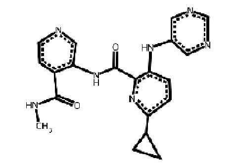 CNC(=O)c1ccncc1NC(=O)c1nc(C2CC2)ccc1Nc1cncnc1